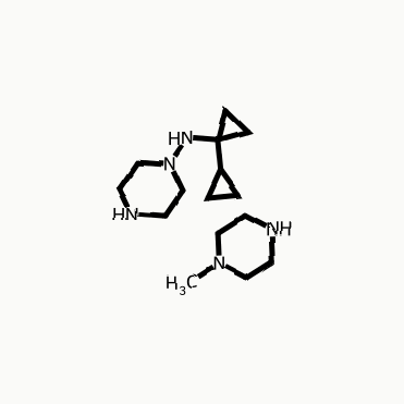 C1CN(NC2(C3CC3)CC2)CCN1.CN1CCNCC1